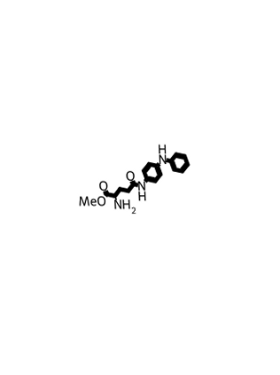 COC(=O)[C@@H](N)CCC(=O)Nc1ccc(Nc2ccccc2)cc1